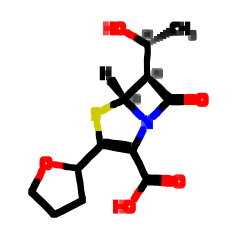 C[C@@H](O)[C@H]1C(=O)N2C(C(=O)O)=C(C3CCCO3)S[C@H]12